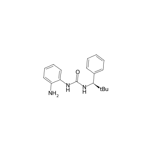 CC(C)(C)[C@@H](NC(=O)Nc1ccccc1N)c1ccccc1